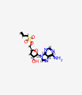 C=CCS(=O)(=O)OC[C@@H]1C[C@@H](O)[C@H](n2cnc3c(N)ncnc32)O1